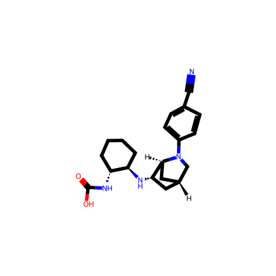 N#Cc1ccc(N2C[C@@H]3C[C@H](N[C@@H]4CCCC[C@H]4NC(=O)O)[C@@H]2C3)cc1